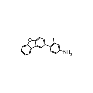 Cc1cc(N)ccc1-c1ccc2oc3ccccc3c2c1